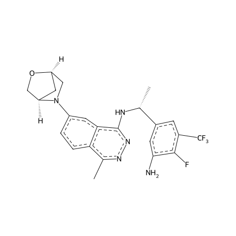 Cc1nnc(N[C@H](C)c2cc(N)c(F)c(C(F)(F)F)c2)c2cc(N3C[C@H]4C[C@@H]3CO4)ccc12